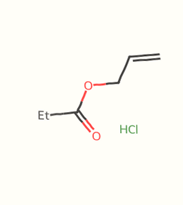 C=CCOC(=O)CC.Cl